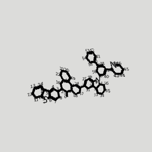 CC1C(C2C=C3C(=CC2)SC2CCC=CC32)CC2=C(C=CCC2)C2C=C(C3=CC=C4C(C3)C3CCC=CC3N4C3C=C(C4CCCC=N4)C=C(C4=CC=CCC4)C3)CCC21